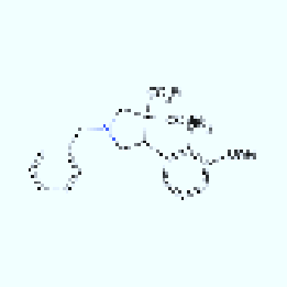 CCOC(=O)C1(C(=O)OCC)CN(Cc2ccccc2)CC1c1cccc(OC)c1[N+](=O)[O-]